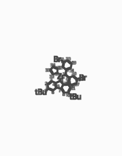 CC(C)(C)c1ccc2c(c1)-c1cc(C(C)(C)C)ccc1[CH]2[Zr](=[C](c1cccc(Br)c1)c1cccc(Br)c1)[CH]1C=CC=C1